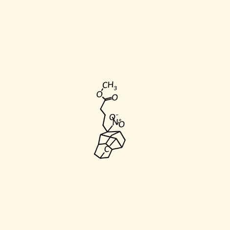 COC(=O)CCCC1([N+](=O)[O-])C2CC3C4CC5CC3C1C(C5)C4C2